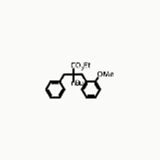 CCCCC(Cc1ccccc1)(Cc1ccccc1OC)C(=O)OCC